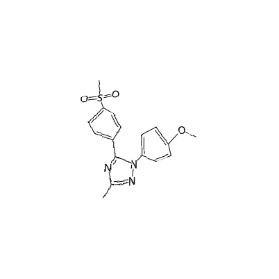 COc1ccc(-n2nc(C)nc2-c2ccc(S(C)(=O)=O)cc2)cc1